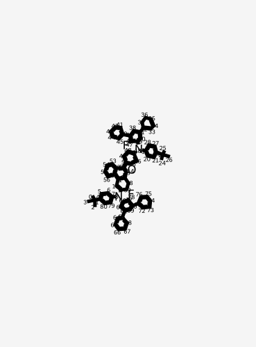 CC(C)(C)c1ccc(N(C2=Cc3c(c4oc5cc(N(c6ccc(C(C)(C)C)cc6)c6cc(C7=CC=CCC7)cc(-c7ccccc7)c6F)ccc5c4c4ccccc34)CC2)c2cc(-c3ccccc3)cc(-c3ccccc3)c2F)cc1